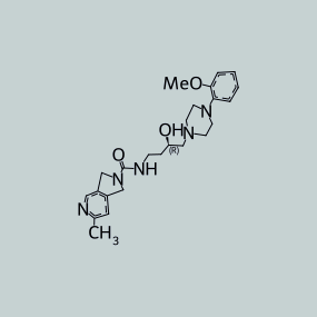 COc1ccccc1N1CCN(C[C@H](O)CCNC(=O)N2Cc3cnc(C)cc3C2)CC1